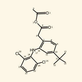 CC(=O)OC(=O)Cc1ccc(C(C)(C)C)cc1Nc1c(Cl)cccc1Cl